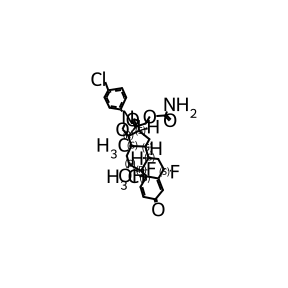 C[C@]12C=CC(=O)C=C1[C@@H](F)C[C@H]1[C@@H]3C[C@H]4CN(c5ccc(Cl)cc5)O[C@@]4(C(=O)COC(N)=O)[C@@]3(C)C[C@H](O)[C@@]12F